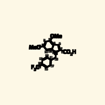 COc1cc(OC)c2cc(C(=O)O)n(Cc3ccc(C(F)(F)F)cc3)c2c1